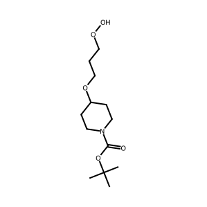 CC(C)(C)OC(=O)N1CCC(OCCCOO)CC1